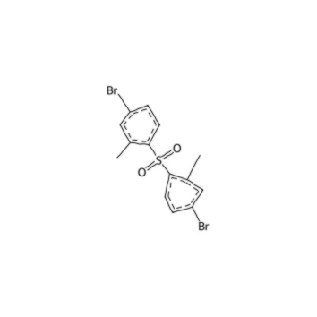 Cc1cc(Br)ccc1S(=O)(=O)c1ccc(Br)cc1C